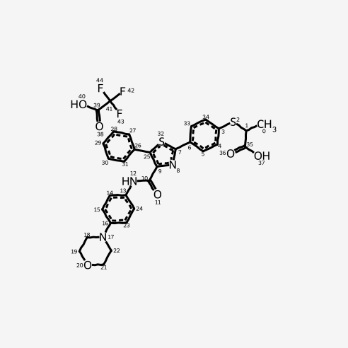 CC(Sc1ccc(-c2nc(C(=O)Nc3ccc(N4CCOCC4)cc3)c(-c3ccccc3)s2)cc1)C(=O)O.O=C(O)C(F)(F)F